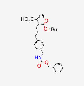 CC(C)C(C(=O)O)C(CCCc1ccc(CNC(=O)OCc2ccccc2)cc1)C(=O)OC(C)(C)C